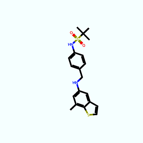 Cc1cc(NCc2ccc(NS(=O)(=O)C(C)(C)C)cc2)cc2ccsc12